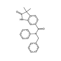 CC1(C)C(=O)Nc2cc(C(=O)N(Cc3ccccc3)c3ccccc3)ccc21